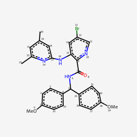 COc1ccc(C(NC(=O)c2ncc(Br)cc2Nc2cc(C)cc(C)n2)c2ccc(OC)cc2)cc1